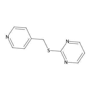 c1cnc(SCc2ccncc2)nc1